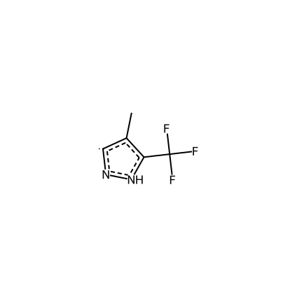 Cc1[c]n[nH]c1C(F)(F)F